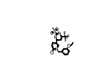 CCOc1cccc(Cn2cc(-c3cc(C(F)(F)F)nc(S(C)(=O)=O)n3)ccc2=O)c1